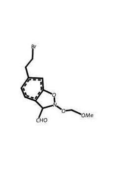 COCON1Oc2cc(CCBr)ccc2C1C=O